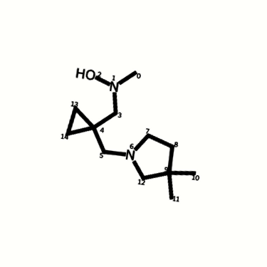 CN(O)CC1(CN2CCC(C)(C)C2)CC1